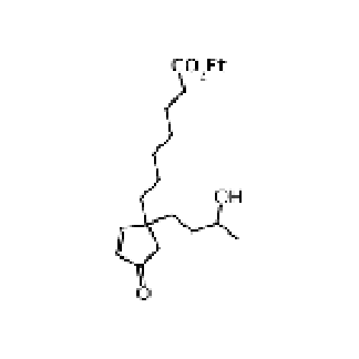 CCOC(=O)CCCCCCC1(CCC(C)O)C=CC(=O)C1